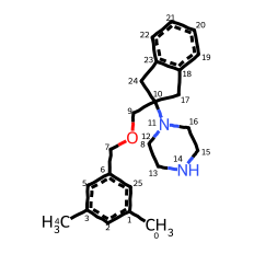 Cc1cc(C)cc(COCC2(N3CCNCC3)Cc3ccccc3C2)c1